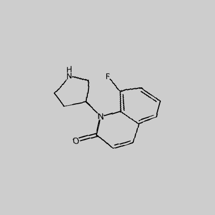 O=c1ccc2cccc(F)c2n1C1CCNC1